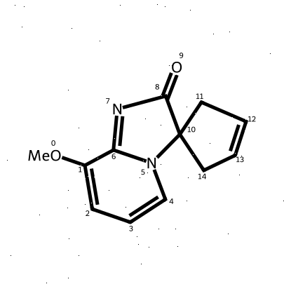 COC1=CC=CN2C1=NC(=O)C21CC=CC1